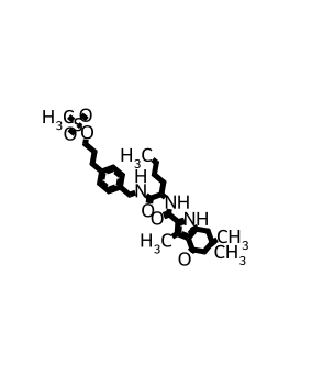 CCCCC(NC(=O)c1[nH]c2c(c1C)C(=O)CC(C)(C)C2)C(=O)NCc1ccc(CCCOS(C)(=O)=O)cc1